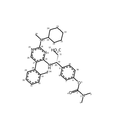 CN(C)C(=O)Oc1ccc([C@@H](CC(=O)O)Nc2nc(N(C)C3CCCCC3)ncc2-c2ccccc2F)cc1